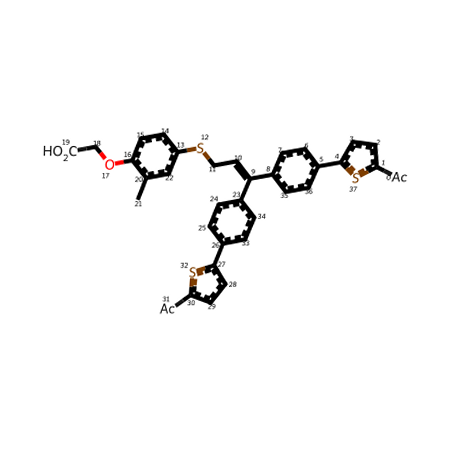 CC(=O)c1ccc(-c2ccc(C(=CCSc3ccc(OCC(=O)O)c(C)c3)c3ccc(-c4ccc(C(C)=O)s4)cc3)cc2)s1